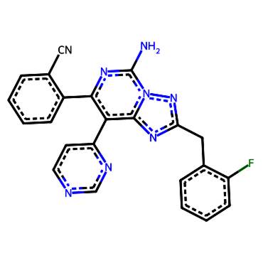 N#Cc1ccccc1-c1nc(N)n2nc(Cc3ccccc3F)nc2c1-c1ccncn1